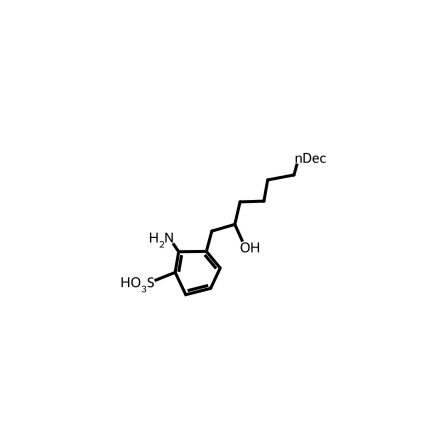 CCCCCCCCCCCCCCC(O)Cc1cccc(S(=O)(=O)O)c1N